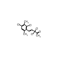 CC(=O)C(Cl)(Cl)N=Nc1c(C)cc(Cl)c(C)c1Cl